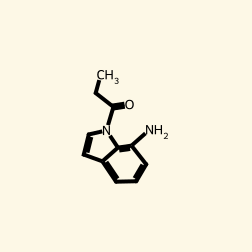 CCC(=O)n1ccc2cccc(N)c21